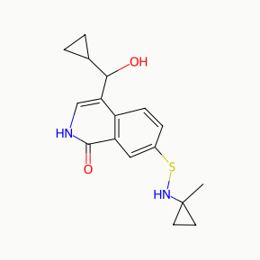 CC1(NSc2ccc3c(C(O)C4CC4)c[nH]c(=O)c3c2)CC1